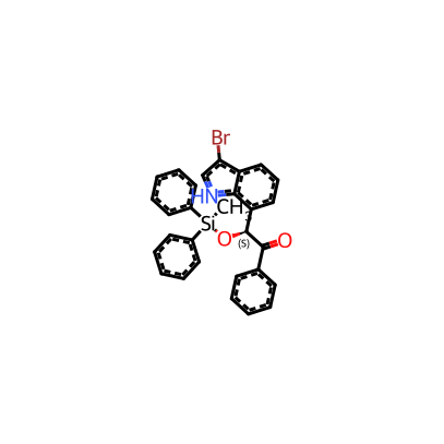 C[Si](O[C@H](C(=O)c1ccccc1)c1cccc2c(Br)c[nH]c12)(c1ccccc1)c1ccccc1